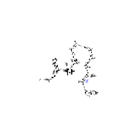 C=CC(=O)Nc1ccccc1/C=C/[C]=O